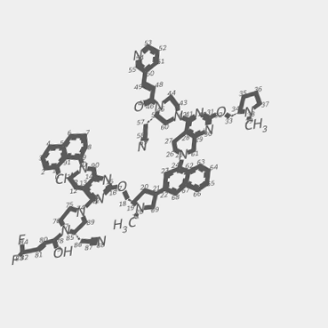 Cc1cccc2cccc(N3CCc4c(nc(OC[C@@H]5CC(c6cc(N7CCc8c(nc(OC[C@@H]9CCCN9C)nc8N8CCN(C(=O)/C=C/c9cccnc9)[C@@H](CC#N)C8)C7)c7ccccc7c6)CN5C)nc4N4CCN(C(O)/C=C/C(F)F)[C@@H](CC#N)C4)C3)c12